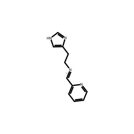 C(=N\CCc1c[nH]cn1)/c1ccccn1